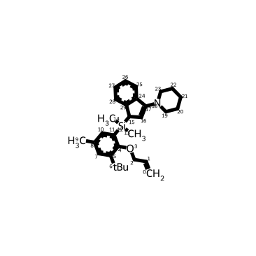 C=CCOc1c(C(C)(C)C)cc(C)cc1[Si](C)(C)C1C=C(N2CCCCC2)c2ccccc21